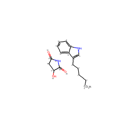 O=C(O)CCCCc1c[nH]c2ccccc12.O=C1CC(O)C(=O)N1